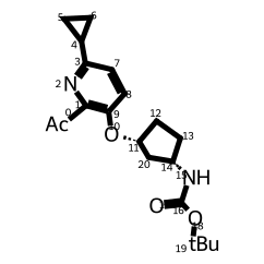 CC(=O)c1nc(C2CC2)ccc1O[C@@H]1CC[C@H](NC(=O)OC(C)(C)C)C1